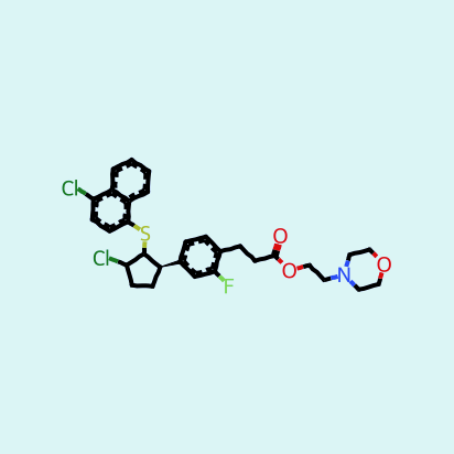 O=C(CCc1ccc([C@H]2CCC(Cl)C2Sc2ccc(Cl)c3ccccc23)cc1F)OCCN1CCOCC1